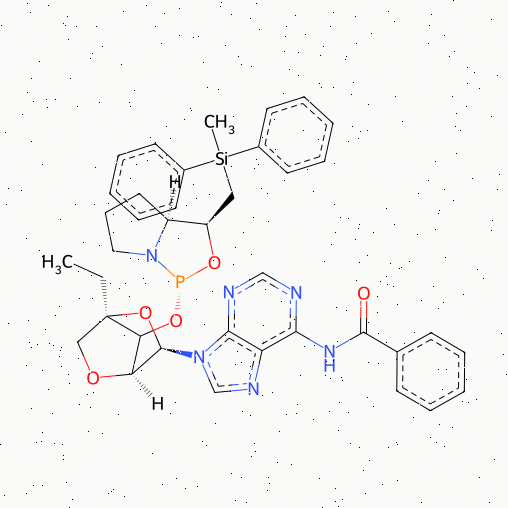 CC[C@@]12CO[C@@H](C1O[P@@]1O[C@H](C[Si](C)(c3ccccc3)c3ccccc3)[C@@H]3CCCN31)[C@H](n1cnc3c(NC(=O)c4ccccc4)ncnc31)O2